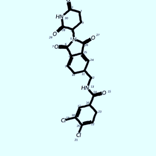 O=C1CCC(N2C(=O)C3=CCC(CNC(=O)C4C=C(Cl)C(Cl)=CC4)C=C3C2=O)C(=O)N1